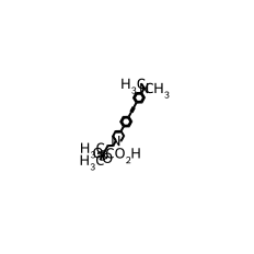 CN(C)c1ccc(C#Cc2ccc(C3=CCN(CCC(C)(C(=O)O)S(C)(=O)=O)CC3)cc2)cc1